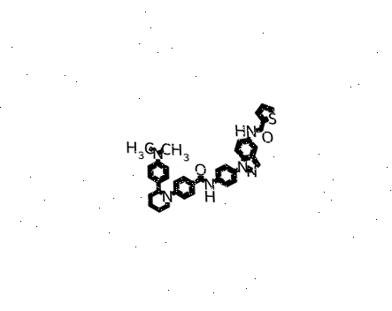 CN(C)c1ccc(C2CCCCN2c2ccc(C(=O)Nc3ccc(-n4ncc5cc(NC(=O)c6cccs6)ccc54)cc3)cc2)cc1